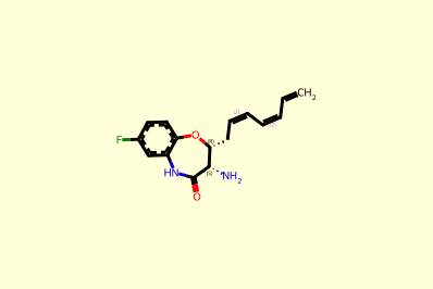 C=C/C=C\C=C/C[C@H]1Oc2ccc(F)cc2NC(=O)[C@H]1N